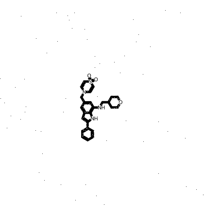 O=S1(=O)C=CN(Cc2cc(NCC3CCOCC3)c3[nH]c(-c4ccccc4)cc3c2)C=C1